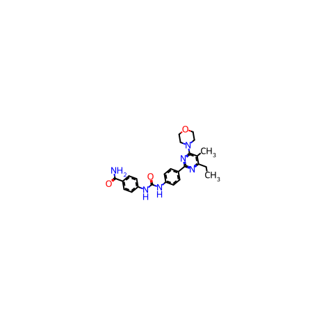 CCc1nc(-c2ccc(NC(=O)Nc3ccc(C(N)=O)cc3)cc2)nc(N2CCOCC2)c1C